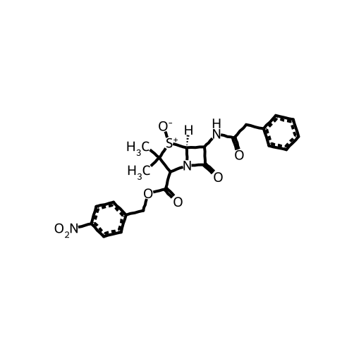 CC1(C)C(C(=O)OCc2ccc([N+](=O)[O-])cc2)N2C(=O)C(NC(=O)Cc3ccccc3)[C@@H]2[S+]1[O-]